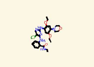 CCNC(=O)c1ccccc1Nc1nc(Nc2cc(OCC)c(N3CCOCC3)cc2OCC)ncc1Cl